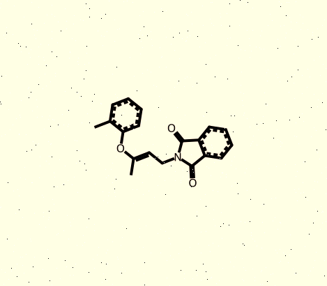 C/C(=C\CN1C(=O)c2ccccc2C1=O)Oc1ccccc1C